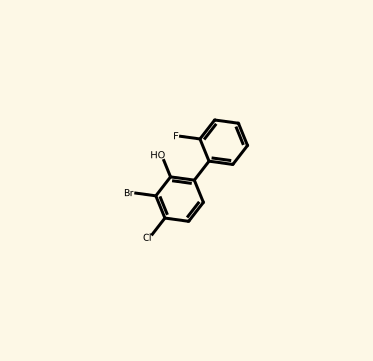 Oc1c(-c2ccccc2F)ccc(Cl)c1Br